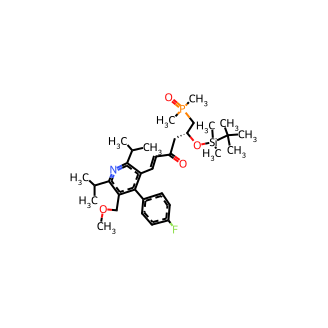 COCc1c(C(C)C)nc(C(C)C)c(/C=C/C(=O)C[C@H](CP(C)(C)=O)O[Si](C)(C)C(C)(C)C)c1-c1ccc(F)cc1